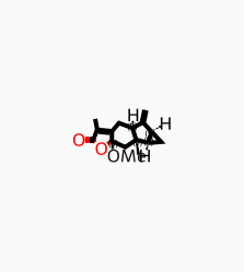 C=C1[C@H]2C[C@H]2[C@]2(C)C[C@]3(OC)OC(=O)C(C)=C3C[C@@H]12